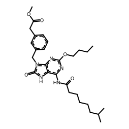 CCCCOc1nc(NC(=O)CCCCCC(C)C)c2[nH]c(=O)n(Cc3cccc(CC(=O)OC)c3)c2n1